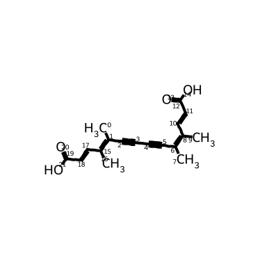 CC(C#CC#CC(C)=C(C)C=CC(=O)O)=C(C)C=CC(=O)O